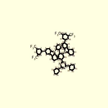 FC(F)(F)c1cc(-c2ccc3c(c2)c2ccccc2n3-c2ccncc2-c2ccc(-c3nc(-c4ccccc4)nc(-c4ccccc4)n3)cc2-n2c3ccccc3c3cc(-c4cc(C(F)(F)F)cc(C(F)(F)F)c4)ccc32)cc(C(F)(F)F)c1